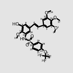 COc1cc(C=Cc2cc(O)c(OC)c(NS(=O)(=O)c3ccc(OC(F)(F)F)cc3)c2)cc(OC)c1OC